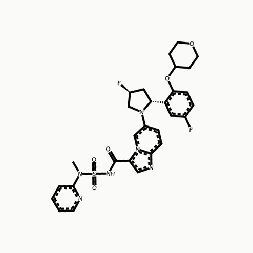 CN(c1ccccn1)S(=O)(=O)NC(=O)c1cnc2ccc(N3C[C@@H](F)C[C@@H]3c3cc(F)ccc3OC3CCOCC3)cn12